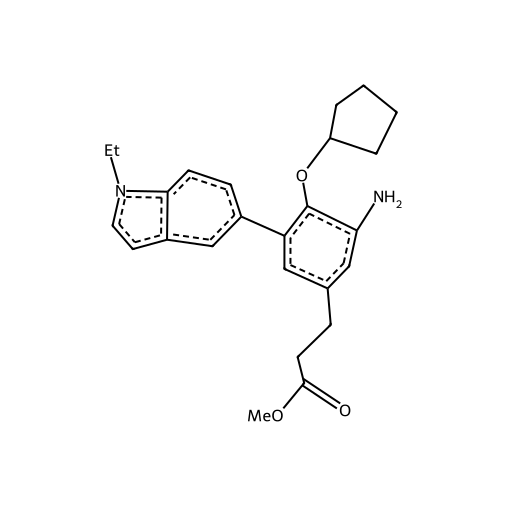 CCn1ccc2cc(-c3cc(CCC(=O)OC)cc(N)c3OC3CCCC3)ccc21